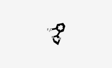 FC(F)(F)c1ccccc1C1=NC=C[N]1